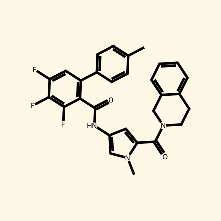 Cc1ccc(-c2cc(F)c(F)c(F)c2C(=O)Nc2cc(C(=O)N3CCc4ccccc4C3)n(C)c2)cc1